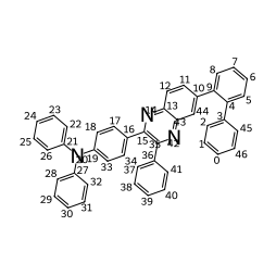 c1ccc(-c2ccccc2-c2ccc3nc(-c4ccc(N(c5ccccc5)c5ccccc5)cc4)c(-c4ccccc4)nc3c2)cc1